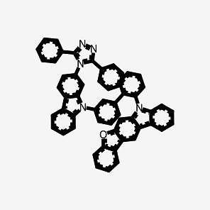 c1ccc(-c2nnc(-c3ccccc3)n2-c2ccc3c4ccccc4n(-c4cccc(-c5ccccc5-n5c6ccccc6c6cc7c(cc65)oc5ccccc57)c4)c3c2)cc1